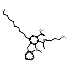 CCCCCCCCCCc1cc(C(O)=S)c(C(=O)NCCCC)c2c1Cc1ccccc1[S+]2[O-]